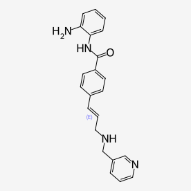 Nc1ccccc1NC(=O)c1ccc(/C=C/CNCc2cccnc2)cc1